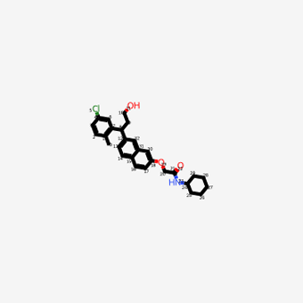 Cc1ccc(Cl)cc1C(CCO)c1ccc2ccc(OCC(=O)NC3CCCCC3)cc2c1